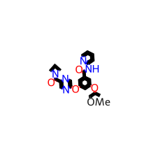 COCC(C)Oc1cc(Oc2cnc(C(=O)N3CCC3)cn2)cc(C(=O)Nc2ccccn2)c1